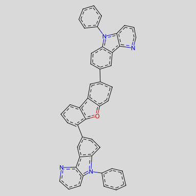 c1ccc(-n2c3ccc(-c4ccc5oc6c(-c7ccc8c(c7)c7ncccc7n8-c7ccccc7)cccc6c5c4)cc3c3ncccc32)cc1